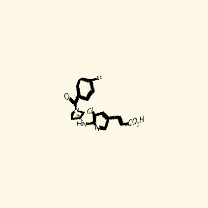 O=C(O)C=Cc1cnc(N[C@@H]2CCN(C(=O)c3ccc(F)cc3)C2)c(Cl)c1